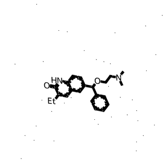 CCc1cc2cc(C(OCCN(C)C)c3ccccc3)ccc2[nH]c1=O